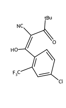 CC(C)(C)C(=O)C(C#N)=C(O)c1ccc(Cl)cc1C(F)(F)F